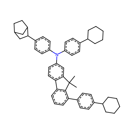 CC1(C)c2cc(N(c3ccc(C4CCCCC4)cc3)c3ccc(C4CC5CCC4C5)cc3)ccc2-c2cccc(-c3ccc(C4CCCCC4)cc3)c21